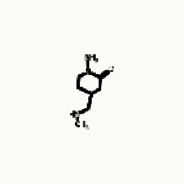 CNCC1CCN(N)C(=O)C1